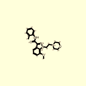 COc1cccc2c(C(=O)Nc3ccccc3C)nn(CCN3CCOCC3)c12